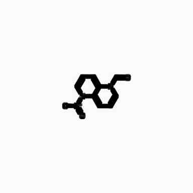 O=CN1C=CC=C2C1=CC=CN2[N+](=O)[O-]